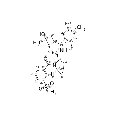 Cc1cc(F)c(C(NC(=O)[C@H]2CC3C[C@H]3N2C(=O)c2cccc(S(C)(=O)=O)c2)C2CC(C)(O)C2)cc1F